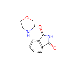 C1COCCN1.O=C1NC(=O)c2ccccc21